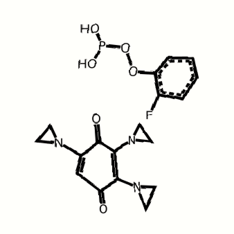 O=C1C=C(N2CC2)C(=O)C(N2CC2)=C1N1CC1.OP(O)OOc1ccccc1F